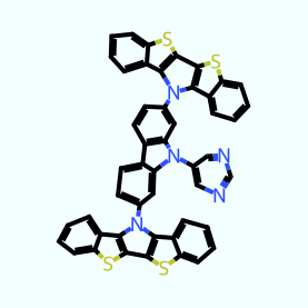 c1ccc2c(c1)sc1c3sc4ccccc4c3n(-c3ccc4c5ccc(-n6c7c8ccccc8sc7c7sc8ccccc8c76)cc5n(-c5cncnc5)c4c3)c21